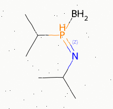 B/[PH](=N/C(C)C)C(C)C